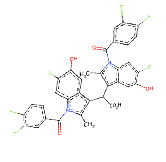 Cc1c(C(C(=O)O)c2c(C)n(C(=O)c3ccc(F)c(F)c3)c3cc(F)c(O)cc23)c2cc(O)c(F)cc2n1C(=O)c1ccc(F)c(F)c1